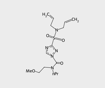 C=CCN(CC=C)S(=O)(=O)c1ncn(C(=O)N(CCC)CCOC)n1